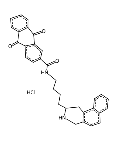 Cl.O=C(NCCCCC1Cc2c(ccc3ccccc23)CN1)c1ccc2c(c1)C(=O)c1ccccc1C2=O